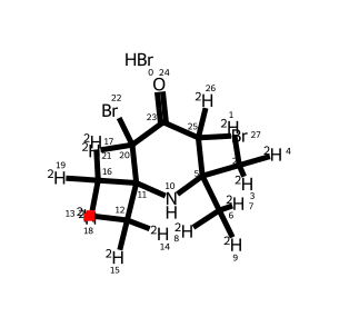 Br.[2H]C([2H])([2H])C1(C([2H])([2H])[2H])NC(C([2H])([2H])[2H])(C([2H])([2H])[2H])C([2H])(Br)C(=O)C1([2H])Br